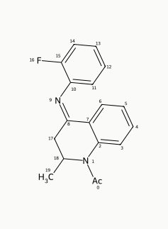 CC(=O)N1c2ccccc2/C(=N\c2ccccc2F)CC1C